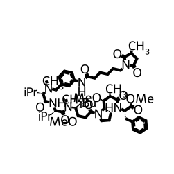 CC[C@H](C)[C@@H]([C@@H](CC(=O)N1CCC[C@H]1[C@H](OC)[C@@H](C)C(=O)N[C@@H](Cc1ccccc1)C(=O)OC)OC)N(C)C(=O)[C@@H](NC(=O)[C@H](C(C)C)N(C)Cc1cccc(NC(=O)CCCCCN2C(=O)CC(C)C2=O)c1)C(C)C